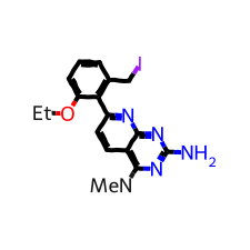 CCOc1cccc(CI)c1-c1ccc2c(NC)nc(N)nc2n1